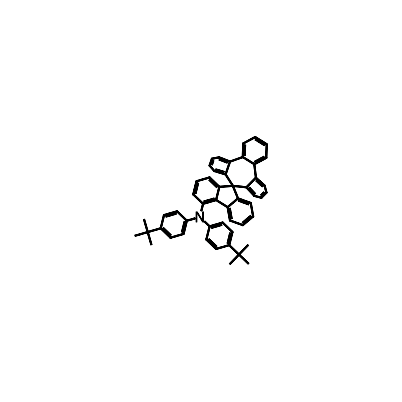 CC(C)(C)c1ccc(N(c2ccc(C(C)(C)C)cc2)c2cccc3c2-c2ccccc2C32c3ccccc3-c3ccccc3-c3ccccc32)cc1